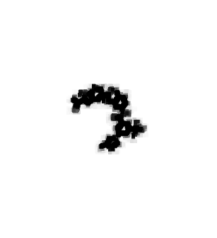 CC(=O)c1cc2cc(C(=O)Nc3cc(NC(=O)c4cc(-n5cnc(C)c5)cc(C(F)(F)F)c4)ccc3C)cnc2[nH]1